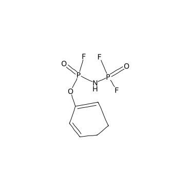 O=P(F)(F)NP(=O)(F)OC1=CCCC=C1